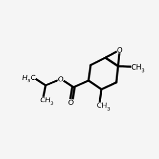 CC(C)OC(=O)C1CC2OC2(C)CC1C